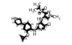 CC(C)S(=O)(=O)c1nn(C)cc1Nc1nc(Nc2ccc(C3CCNC3)cc2OC2CC2)ncc1Cl